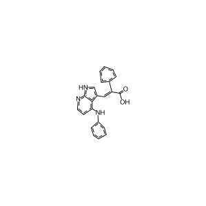 O=C(O)/C(=C/c1c[nH]c2nccc(Nc3ccccc3)c12)c1ccccc1